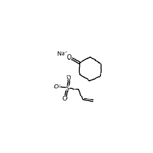 C=CCS(=O)(=O)[O-].O=C1CCCCC1.[Na+]